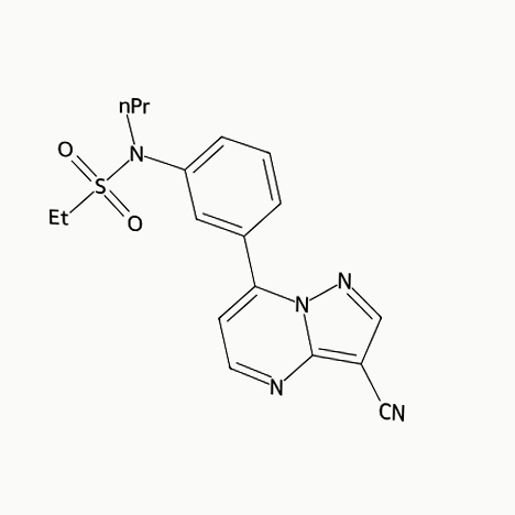 CCCN(c1cccc(-c2ccnc3c(C#N)cnn23)c1)S(=O)(=O)CC